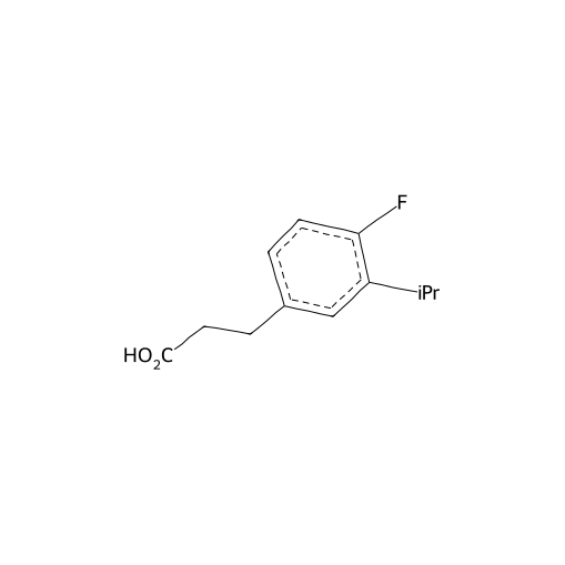 CC(C)c1cc(CCC(=O)O)ccc1F